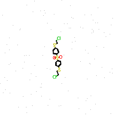 O=S(=O)(c1ccc(SCCCl)cc1)c1ccc(SCCCl)cc1